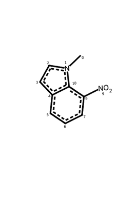 Cn1ccc2cccc([N+](=O)[O-])c21